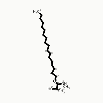 CCCCCCCCCCCCCCCCCCOC(NC)C(C)O